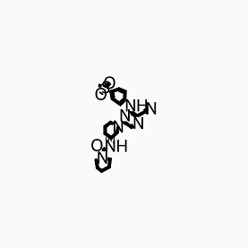 CS(=O)(=O)c1ccc(Nc2nc(N3CCC[C@@H](NC(=O)N4CCCCC4)C3)cnc2C#N)cc1